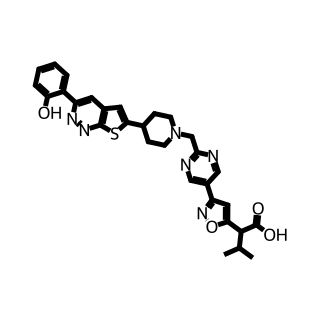 CC(C)C(C(=O)O)c1cc(-c2cnc(CN3CCC(c4cc5cc(-c6ccccc6O)nnc5s4)CC3)nc2)no1